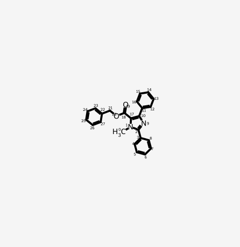 Cn1c(-c2ccccc2)nc(-c2ccccc2)c1C(=O)OCc1ccccc1